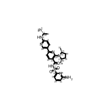 CC(C)[C@H](C)Nc1ccc(-c2ccc(C(=O)NS(=O)(=O)c3cccc(N)n3)c(N3[C@H](C)CC[C@@H]3C)n2)cn1